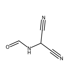 N#CC(C#N)NC=O